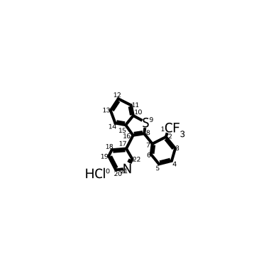 Cl.FC(F)(F)c1ccccc1-c1sc2ccccc2c1-c1cccnc1